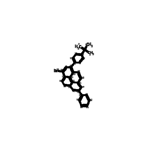 CC(C)(C)c1ccc(-c2cc(Br)c3ccc4cc(-c5ccccc5)cc5ccc2c3c45)cc1